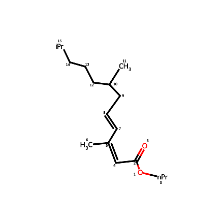 CCCOC(=O)C=C(C)C=CCC(C)CCCC(C)C